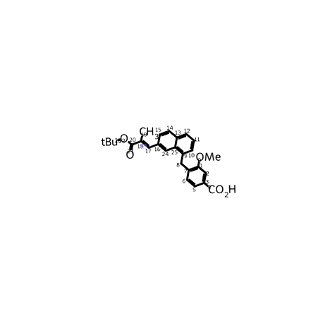 COc1cc(C(=O)O)ccc1Cc1cccc2ccc(/C=C(\C)C(=O)OC(C)(C)C)cc12